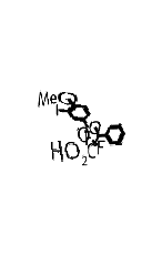 COc1ccc(C(=O)OC(c2ccccc2)C(F)(F)C(=O)O)cc1I